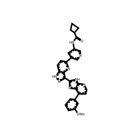 COc1cccc(-c2ccnc3[nH]c(-c4n[nH]c5ccc(-c6cncc(NC(=O)C7CCC7)c6)nc45)nc23)c1